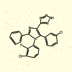 Fc1c(Cl)cccc1-n1c(-c2ccccc2)nc(-c2nn[nH]n2)c1-c1cccc(Cl)c1